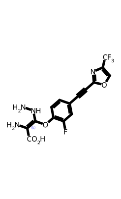 NN/C(Oc1ccc(C#Cc2nc(C(F)(F)F)co2)cc1F)=C(\N)C(=O)O